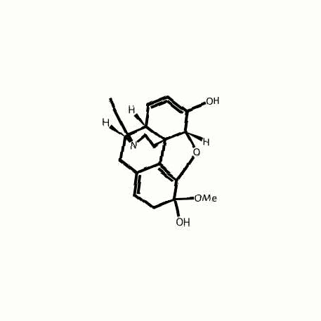 COC1(O)CC=C2C[C@@H]3[C@@H]4C=C=C(O)[C@@H]5OC1=C2[C@@]54CCN3C